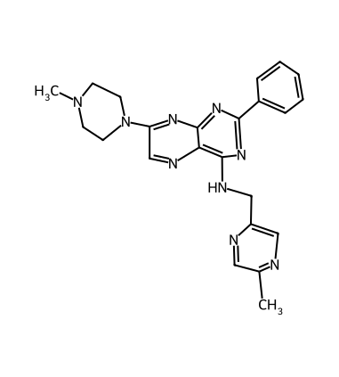 Cc1cnc(CNc2nc(-c3ccccc3)nc3nc(N4CCN(C)CC4)cnc23)cn1